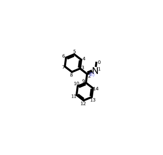 C/N=C(\C1=CC=CCC1)c1ccccc1